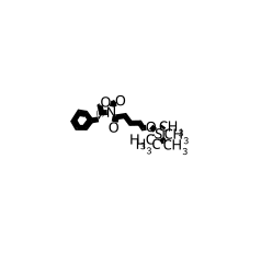 CC(C)(C)[Si](C)(C)OCCCCC(=O)N1C(=O)OC[C@H]1Cc1ccccc1